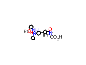 CCOc1ccccc1NC(=O)N(c1ccccc1)c1ccc(-c2ccc(C(=O)N(C)[C@H](C(=O)O)C(C)C)cc2)cc1